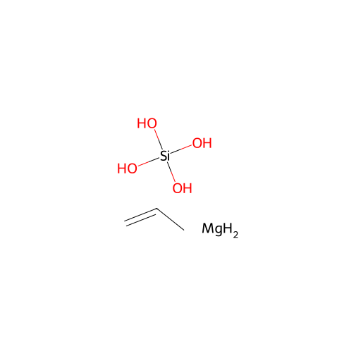 C=CC.O[Si](O)(O)O.[MgH2]